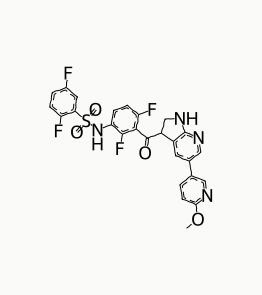 COc1ccc(-c2cnc3c(c2)C(C(=O)c2c(F)ccc(NS(=O)(=O)c4cc(F)ccc4F)c2F)CN3)cn1